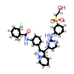 O=C(Nc1cccc(-c2nn3ccccc3c2-c2ccnc(Nc3cccc(S(=O)(=O)CCO)c3)n2)c1)c1c(F)cccc1F